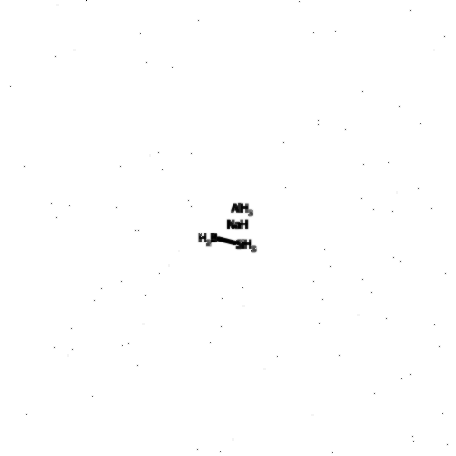 B[SiH3].[AlH3].[NaH]